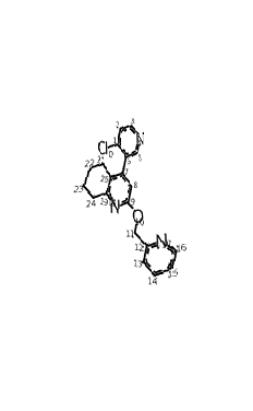 Clc1ccncc1-c1cc(OCc2ccccn2)nc2c1CCCC2